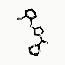 CC(C)(C)c1ccccc1OC1CCN(C(=O)c2ccccn2)C1